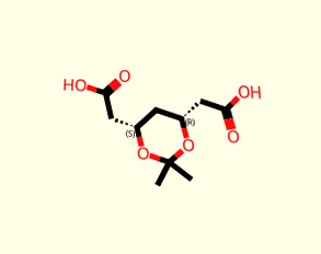 CC1(C)O[C@H](CC(=O)O)C[C@H](CC(=O)O)O1